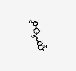 C=C1CCc2cc(/C=C/C(=O)N3CC=C(c4cccc(OC)c4)CCC3)cnc2N1